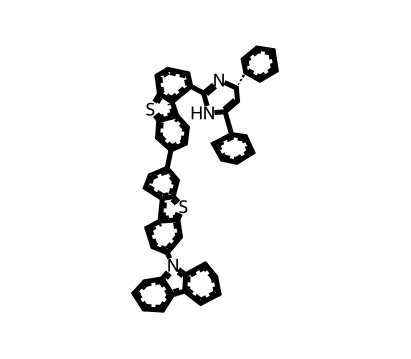 C1=C(c2ccccc2)NC(c2cccc3sc4cc(-c5ccc6c(c5)sc5cc(-n7c8ccccc8c8ccccc87)ccc56)ccc4c23)=N[C@@H]1c1ccccc1